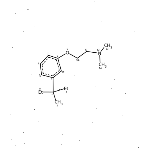 CCC(C)(CC)c1cccc(OCCN(C)C)c1